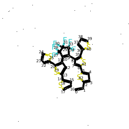 C=Cc1ccc(-c2cc(C3=C(c4cc(-c5cccs5)sc4-c4cccs4)C(F)(F)C(F)(F)C3(F)F)c(-c3cccs3)s2)s1